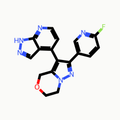 Fc1ccc(-c2nn3c(c2-c2ccnc4[nH]ncc24)COCC3)cn1